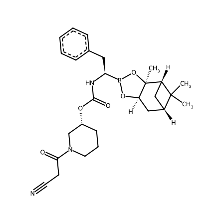 CC1(C)[C@@H]2C[C@H]3OB([C@H](Cc4ccccc4)NC(=O)O[C@@H]4CCCN(C(=O)CC#N)C4)O[C@@]3(C)[C@H]1C2